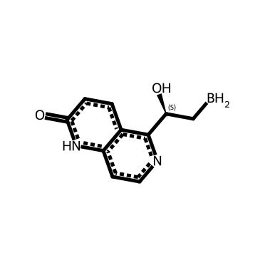 BC[C@H](O)c1nccc2[nH]c(=O)ccc12